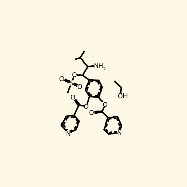 CC(C)C(N)C(OS(C)(=O)=O)c1ccc(OC(=O)c2ccncc2)c(OC(=O)c2ccncc2)c1.CCO